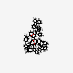 c1ccc(-c2ccc(N(c3ccc4c(c3)C3(c5ccccc5-c5ccccc53)c3ccccc3-4)c3c(-c4cccc(-c5ccc(N(c6ccc7c(c6)C6(c8ccccc8-c8ccccc86)c6ccccc6-7)c6c(-c7cccc8oc9ccccc9c78)c7ccccc7c7ccccc67)cc5)c4)c4ccccc4c4ccccc34)cc2)cc1